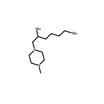 CN1CCN(CC(CCCCC(C)(C)C)C(C)(C)C)CC1